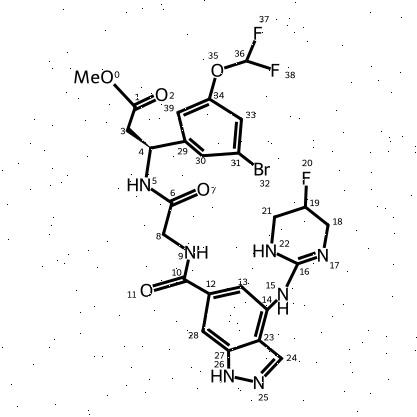 COC(=O)C[C@H](NC(=O)CNC(=O)c1cc(NC2=NCC(F)CN2)c2cn[nH]c2c1)c1cc(Br)cc(OC(F)F)c1